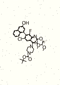 COC(OC)[C@@H](C)Oc1nc(N2CCN(C(=O)OC(C)(C)C)CC2)c2cc(Cl)c(-c3cc(O)cc4ccccc34)c(F)c2n1